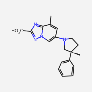 Cc1cc(N2CC[C@](C)(c3ccccc3)C2)cn2nc(C(=O)O)nc12